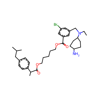 CCN(Cc1cc(Br)cc(C(=O)OCCCCCOC(=O)C(C)c2ccc(CC(C)C)cc2)c1)C1CCC(N)CC1